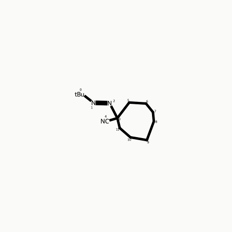 CC(C)(C)N=NC1(C#N)CCCCCCC1